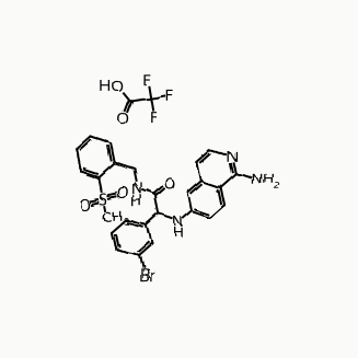 CS(=O)(=O)c1ccccc1CNC(=O)C(Nc1ccc2c(N)nccc2c1)c1cccc(Br)c1.O=C(O)C(F)(F)F